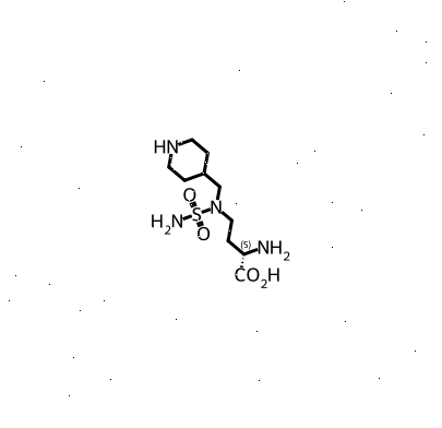 N[C@@H](CCN(CC1CCNCC1)S(N)(=O)=O)C(=O)O